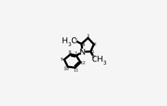 CC1CCC(C)N1C1=CC[CH]C=C1